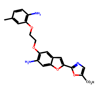 Cc1ccc(N)c(OCCOc2cc3cc(-c4ncc(C(=O)O)o4)oc3cc2N)c1